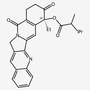 CC[C@@]1(OC(=O)C(C)C(C)C)C(=O)CCc2c1cc1n(c2=O)Cc2cc3ccccc3nc2-1